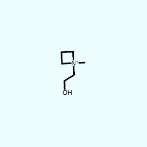 C[N+]1(CCO)CCC1